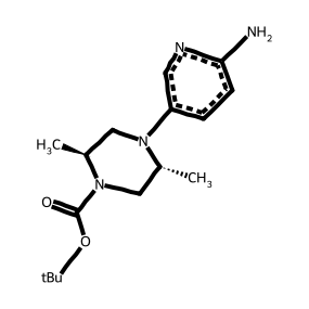 C[C@@H]1CN(C(=O)OC(C)(C)C)[C@@H](C)CN1c1ccc(N)nc1